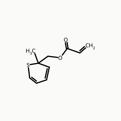 C=CC(=O)OCC1(C)C=CC=CS1